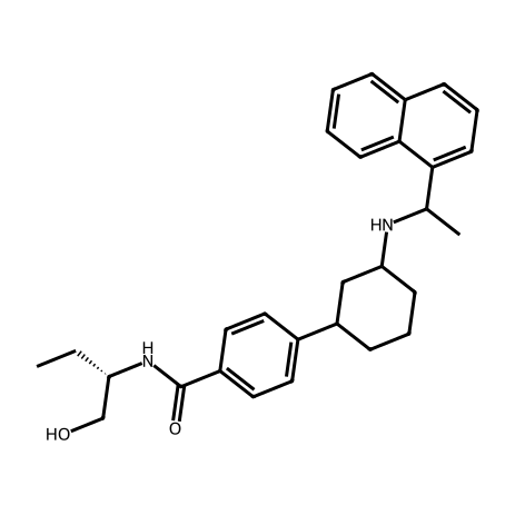 CC[C@@H](CO)NC(=O)c1ccc(C2CCCC(NC(C)c3cccc4ccccc34)C2)cc1